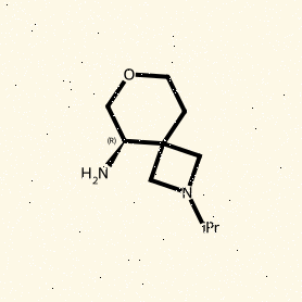 CC(C)N1CC2(CCOC[C@@H]2N)C1